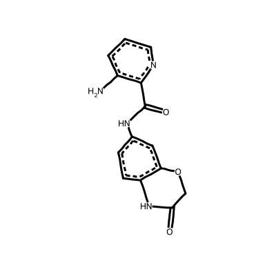 Nc1cccnc1C(=O)Nc1ccc2c(c1)OCC(=O)N2